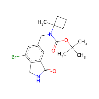 CC(C)(C)OC(=O)N(Cc1cc(Br)c2c(c1)C(=O)NC2)C1(C)CCC1